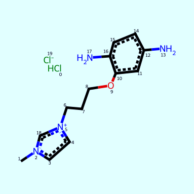 Cl.Cn1cc[n+](CCCOc2cc(N)ccc2N)c1.[Cl-]